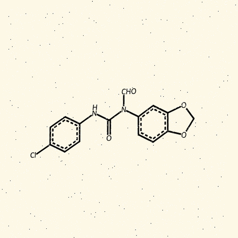 O=CN(C(=O)Nc1ccc(Cl)cc1)c1ccc2c(c1)OCO2